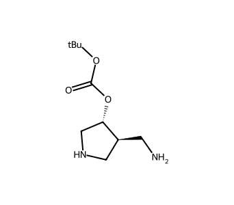 CC(C)(C)OC(=O)O[C@H]1CNC[C@@H]1CN